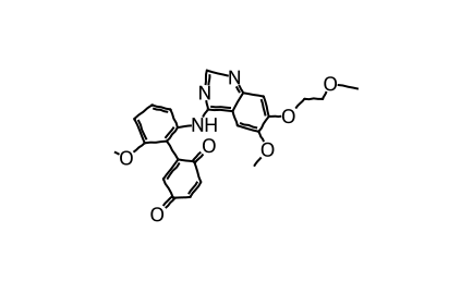 COCCOc1cc2ncnc(Nc3cccc(OC)c3C3=CC(=O)C=CC3=O)c2cc1OC